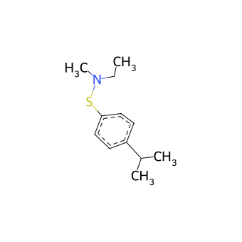 CCN(C)Sc1ccc(C(C)C)cc1